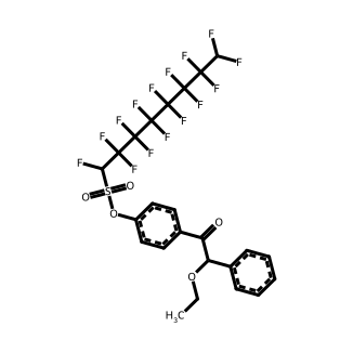 CCOC(C(=O)c1ccc(OS(=O)(=O)C(F)C(F)(F)C(F)(F)C(F)(F)C(F)(F)C(F)(F)C(F)(F)C(F)F)cc1)c1ccccc1